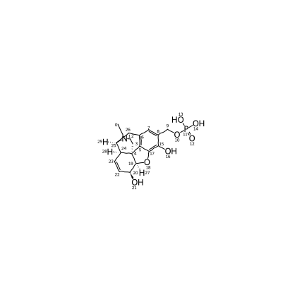 CN1CC[C@]23c4c5cc(COP(=O)(O)O)c(O)c4O[C@H]2[C@@H](O)C=C[C@H]3[C@H]1C5